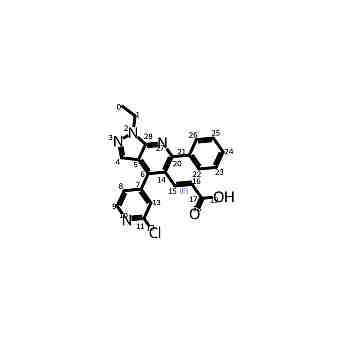 CCn1ncc2c(-c3ccnc(Cl)c3)c(/C=C/C(=O)O)c(-c3ccccc3)nc21